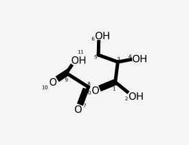 O=C(O)C(O)CO.O=CC(=O)O